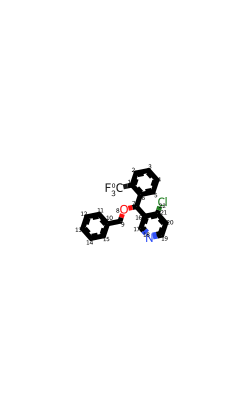 FC(F)(F)c1ccccc1C(OCc1ccccc1)c1cnccc1Cl